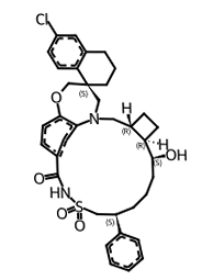 O=C1NS(=O)(=O)C[C@H](c2ccccc2)CCC[C@H](O)[C@@H]2CC[C@H]2CN2C[C@@]3(CCCc4cc(Cl)ccc43)COc3ccc1cc32